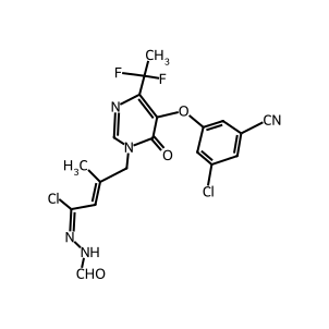 C/C(=C\C(Cl)=N/NC=O)Cn1cnc(C(C)(F)F)c(Oc2cc(Cl)cc(C#N)c2)c1=O